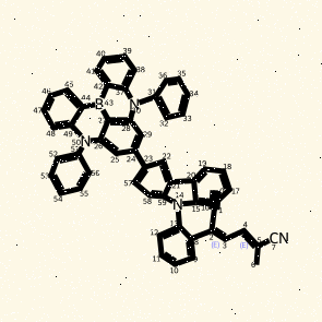 C#C/C(=C\C=C(/C)C#N)c1ccccc1-n1c2ccccc2c2cc(-c3cc4c5c(c3)N(c3ccccc3)c3ccccc3B5c3ccccc3N4c3ccccc3)ccc21